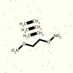 C=C.C=C.C=C.O=[N+]([O-])OCCO[N+](=O)[O-]